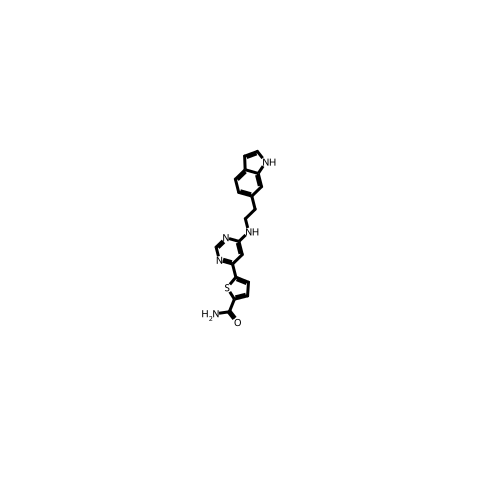 NC(=O)c1ccc(-c2cc(NCCc3ccc4cc[nH]c4c3)ncn2)s1